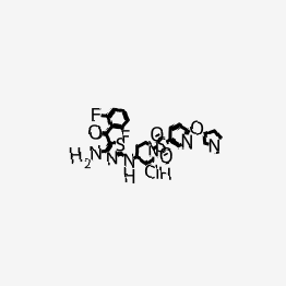 CN1CC[C@@H](Oc2ccc(S(=O)(=O)N3CCC(Nc4nc(N)c(C(=O)c5c(F)cccc5F)s4)CC3)cn2)C1.Cl